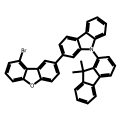 CC1(C)c2ccccc2-c2cccc(-n3c4ccccc4c4ccc(-c5ccc6oc7cccc(Br)c7c6c5)cc43)c21